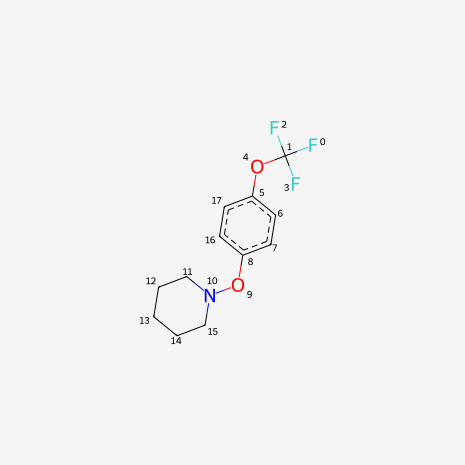 FC(F)(F)Oc1ccc(ON2CCCCC2)cc1